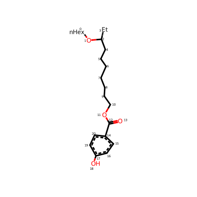 CCCCCCOC(CC)CCCCCCCOC(=O)c1ccc(O)cc1